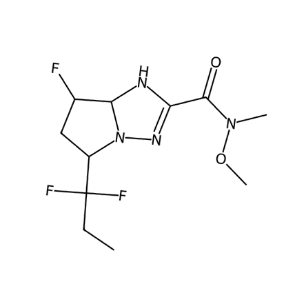 CCC(F)(F)C1CC(F)C2NC(C(=O)N(C)OC)=NN21